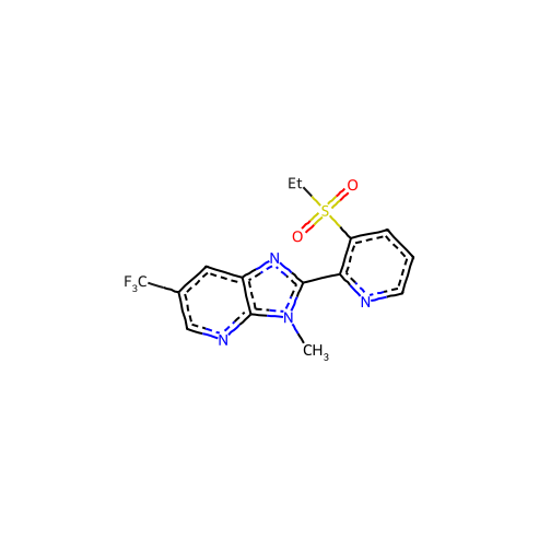 CCS(=O)(=O)c1cccnc1-c1nc2cc(C(F)(F)F)cnc2n1C